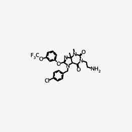 CN1C(=O)N(CCN)C(=O)C2N(Cc3ccc(Cl)cc3)C(Oc3cccc(OC(F)(F)F)c3)=NC21C